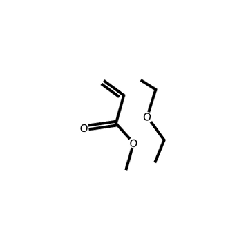 C=CC(=O)OC.CCOCC